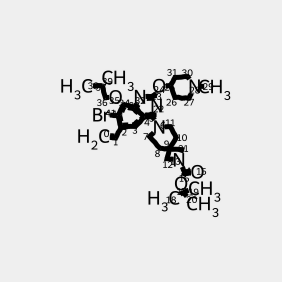 C=Cc1cc2c(N3CCC4(CC3)CN(C(=O)OC(C)(C)C)C4)nc(OC3CCN(C)CC3)nc2c(OCC(C)C)c1Br